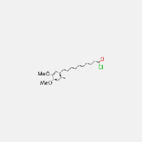 COc1[c]c(CCCCCCCCCC(=O)Cl)c(C)cc1OC